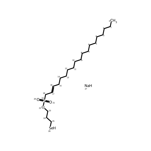 CCCCCCCCCCCCCCCCC=CCS(=O)(=O)OCCC[SeH].[NaH]